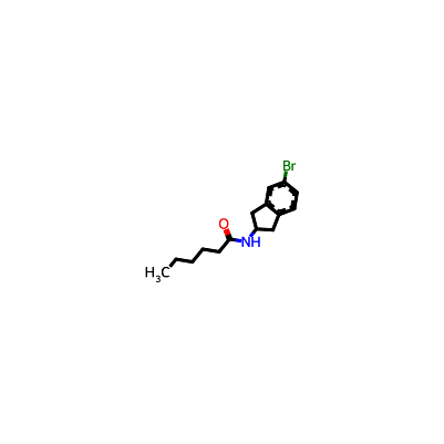 CCCCCC(=O)NC1Cc2ccc(Br)cc2C1